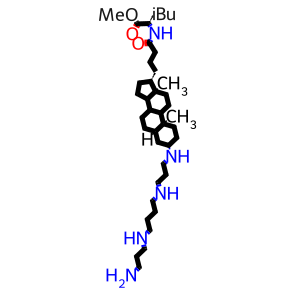 CCC(C)[C@H](NC(=O)CCC[C@H]1CCC2C3CC[C@@H]4C[C@@H](NCCCNCCCCNCCCN)CC[C@]4(C)C3CC[C@@]21C)C(=O)OC